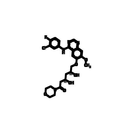 COc1cc2ncnc(Nc3ccc(F)c(Cl)c3)c2cc1OC[C@@H](O)C[C@@H](O)CC(=O)N1CCOCC1